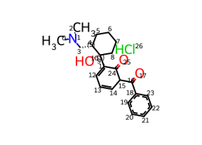 CN(C)C[C@@H]1CCCC[C@@]1(O)C1=CC=CC(C(=O)c2ccccc2)C1=O.Cl